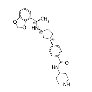 C[C@@H](N[C@H]1CC[C@@H](c2ccc(C(=O)NC3CCNCC3)cc2)C1)c1cccc2c1OCO2